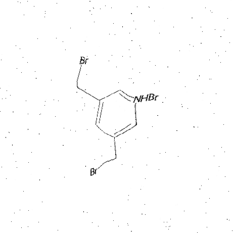 Br.BrCc1cncc(CBr)c1